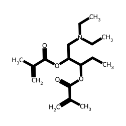 C=C(C)C(=O)OC(CC)C(CN(CC)CC)OC(=O)C(=C)C